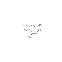 CC(C)CC(C#N)CC#N.CC(C)CCCC(=O)O